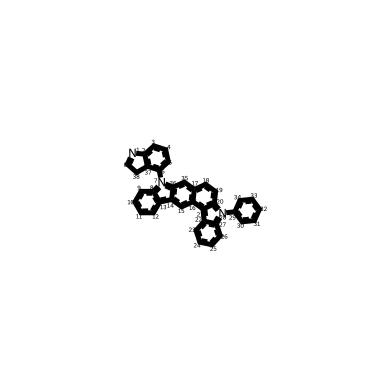 C1=Nc2cccc(-n3c4ccccc4c4cc5c(ccc6c5c5ccccc5n6-c5ccccc5)cc43)c2C1